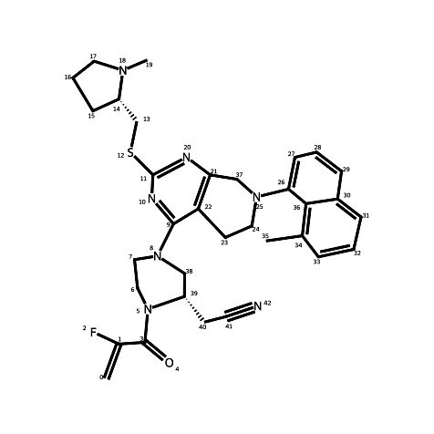 C=C(F)C(=O)N1CCN(c2nc(SC[C@@H]3CCCN3C)nc3c2CCN(c2cccc4cccc(C)c24)C3)C[C@@H]1CC#N